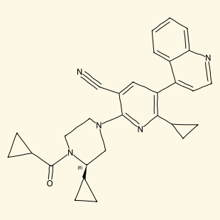 N#Cc1cc(-c2ccnc3ccccc23)c(C2CC2)nc1N1CCN(C(=O)C2CC2)[C@H](C2CC2)C1